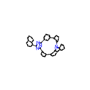 c1cc2cc(c1)-c1nc(nc(-c3cccc4ccccc34)n1)-c1cccc(c1)-c1ccc3c4ccccc4n(c3c1)-c1cccc-2c1